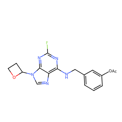 CC(=O)Oc1cccc(CNc2nc(F)nc3c2ncn3C2CCO2)c1